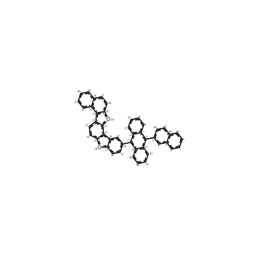 c1ccc2cc(-c3c4ccccc4c(-c4ccc5oc6ccc7c(oc8ccc9ccccc9c87)c6c5c4)c4ccccc34)ccc2c1